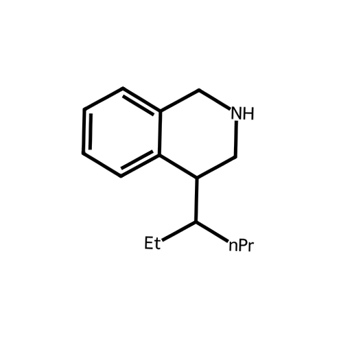 CCCC(CC)C1CNCc2ccccc21